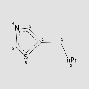 CCC[CH]c1cncs1